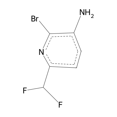 Nc1ccc(C(F)F)nc1Br